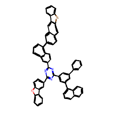 c1ccc(-c2cc(-c3nc(-c4ccc5c(-c6ccc7cc8sc9ccccc9c8cc7c6)cccc5c4)nc(-c4ccc5oc6ccccc6c5c4)n3)cc(-c3cccc4ccccc34)c2)cc1